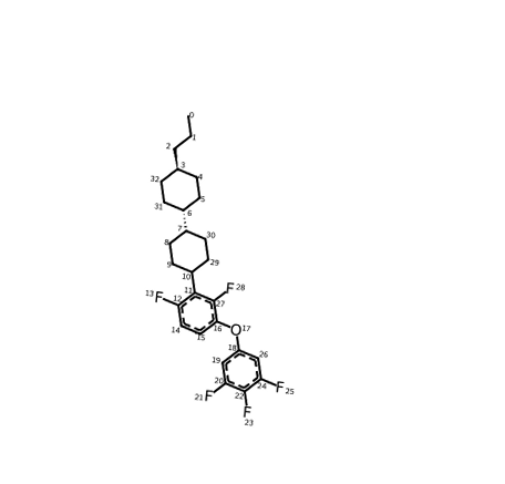 CCC[C@H]1CC[C@H](C2CCC(c3c(F)c[c]c(Oc4cc(F)c(F)c(F)c4)c3F)CC2)CC1